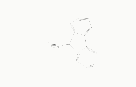 C#CC1c2ccccc2-c2ccccc21